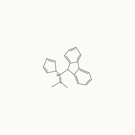 C[Si](C)=[Hf]([CH]1C=CC=C1)[CH]1c2ccccc2-c2ccccc21